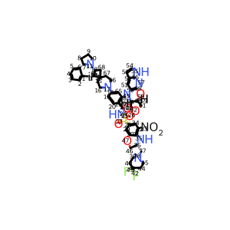 CC(C)c1ccccc1[C@@H]1CCCN1C1CC2(CCN(c3ccc(C(=O)NS(=O)(=O)c4cc5c(c([N+](=O)[O-])c4)N[C@H](CN4CCC(F)(F)CC4)CO5)c(N4c5cc6cc[nH]c6nc5O[C@H]5COC[C@@H]54)c3)CC2)C1